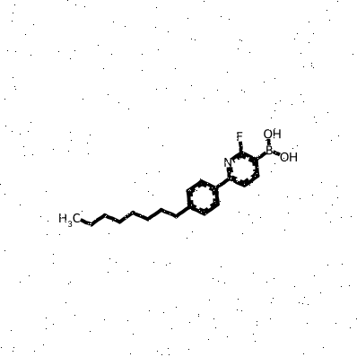 CCCCCCCCc1ccc(-c2ccc(B(O)O)c(F)n2)cc1